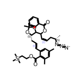 Cc1cc(C)c(C(=O)OCC[Si](C)(C)C)c(/C=C/C[C@@H]2OC(C)(C)OC2C(/C=C\C[C@H](C)N=[N+]=[N-])OC(=O)c2ccccc2)c1